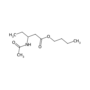 CCCCOC(=O)CC(CC)NC(C)=O